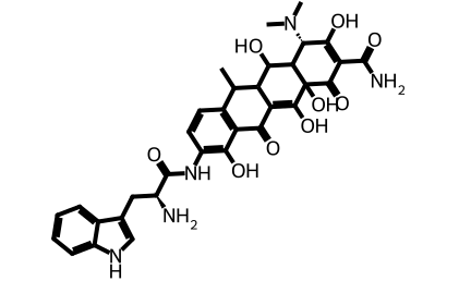 CC1c2ccc(NC(=O)[C@@H](N)Cc3c[nH]c4ccccc34)c(O)c2C(=O)C2=C(O)C3(O)C(=O)C(C(N)=O)=C(O)[C@@H](N(C)C)C3C(O)C21